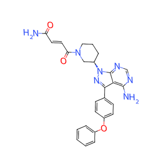 NC(=O)/C=C/C(=O)N1CCC[C@@H](n2nc(-c3ccc(Oc4ccccc4)cc3)c3c(N)ncnc32)C1